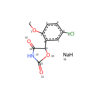 COc1ccc(Cl)cc1C1OC(=O)NC1=O.[NaH]